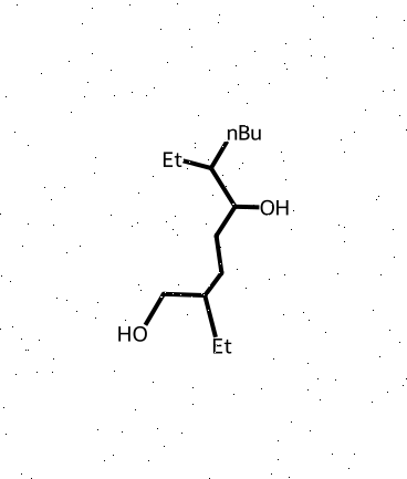 CCCCC(CC)C(O)CCC(CC)CO